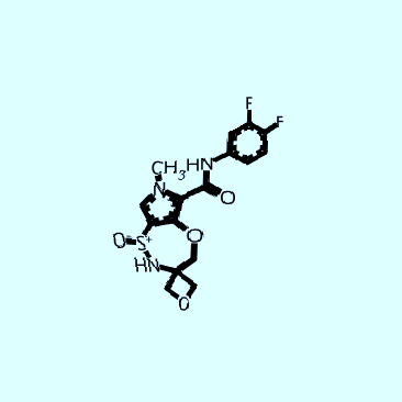 Cn1cc2c(c1C(=O)Nc1ccc(F)c(F)c1)OCC1(COC1)N[S+]2[O-]